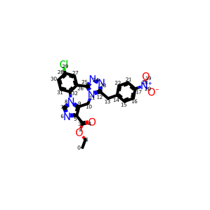 CCOC(=O)c1ncn2c1Cn1c(Cc3ccc([N+](=O)[O-])cc3)nnc1-c1cc(Cl)ccc1-2